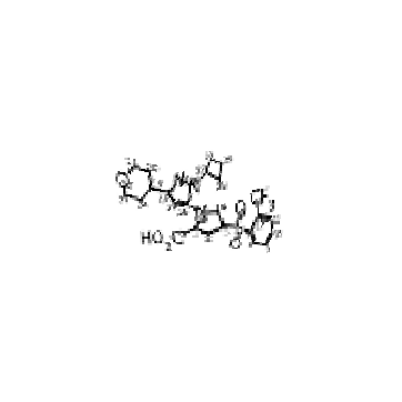 O=C(O)C1CC(S(=O)(=O)c2ccccc2C(F)(F)F)CN1c1cc(C2CCOCC2)nn1C1CCC1